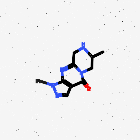 CC1Cn2c(nc3c(cnn3C(C)C)c2=O)CN1